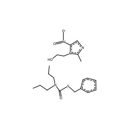 CCCN(CCC)C(=O)SCc1ccccc1.Cc1ncc([N+](=O)[O-])n1CCO